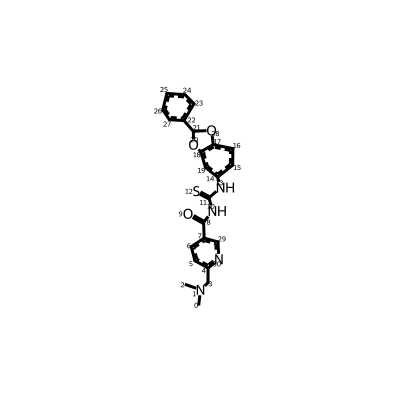 CN(C)Cc1ccc(C(=O)NC(=S)Nc2ccc3c(c2)OC(c2ccccc2)O3)cn1